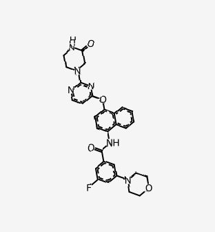 O=C1CN(c2nccc(Oc3ccc(NC(=O)c4cc(F)cc(N5CCOCC5)c4)c4ccccc34)n2)CCN1